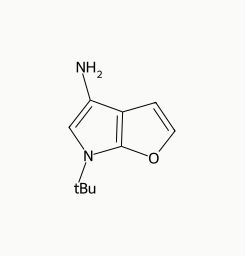 CC(C)(C)n1cc(N)c2ccoc21